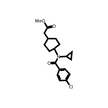 COC(=O)CC1CCC(N(C(=O)c2ccc(Cl)cc2)C2CC2)CC1